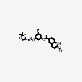 CCOC1=CC=C2C=C(C(C)Oc3cc(F)cc(O/N=C/[C@@H]4COC(C)(C)O4)c3)C=CC2N1